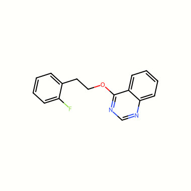 Fc1ccccc1CCOc1ncnc2ccccc12